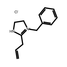 C=CCC1=[N+](Cc2ccccc2)CCN1.[Cl-]